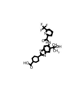 CC(C)(O)c1cc2nc(C3CCC(C(=O)O)CC3)sc2cc1NC(=O)c1cccc(C(F)(F)F)n1